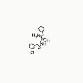 N[C@@H](Cc1ccccc1)[C@H](O)CNC1(Cc2cccc(Cl)c2)CC1